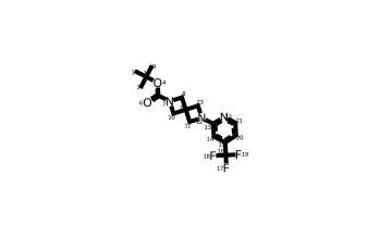 CC(C)(C)OC(=O)N1CC2(C1)CN(c1cc(C(F)(F)F)ccn1)C2